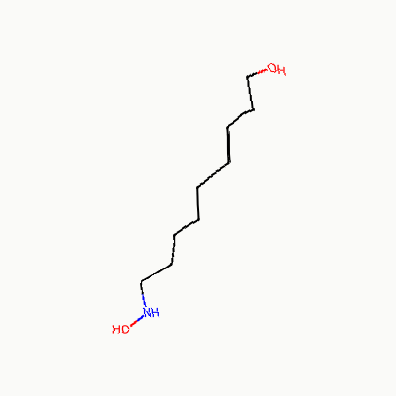 OCCCCCCCCCNO